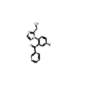 O=C(c1ccccc1)c1cc(Cl)ccc1-n1ccnc1CO